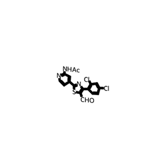 CC(=O)Nc1cc(-c2nc(-c3ccc(Cl)cc3Cl)c(C=O)s2)ccn1